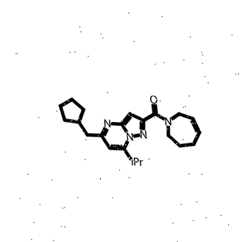 CC(C)c1cc(CC2CCCC2)nc2cc(C(=O)N3CC=CCCC3)nn12